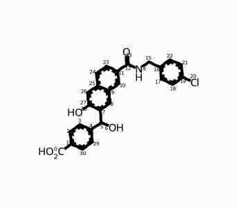 O=C(O)c1ccc(C(O)c2cc3cc(C(=O)NCc4ccc(Cl)cc4)ccc3cc2O)cc1